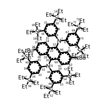 CC[Si](CC)(CC)c1cc(N(c2cc([Si](CC)(CC)CC)cc([Si](CC)(CC)CC)c2)c2c3ccc(C(C)(C)C)cc3c(N(c3cc([Si](CC)(CC)CC)cc([Si](CC)(CC)CC)c3)c3cc([Si](CC)(CC)CC)cc([Si](CC)(CC)CC)c3)c3ccc(C(C)(C)C)cc23)cc([Si](CC)(CC)CC)c1